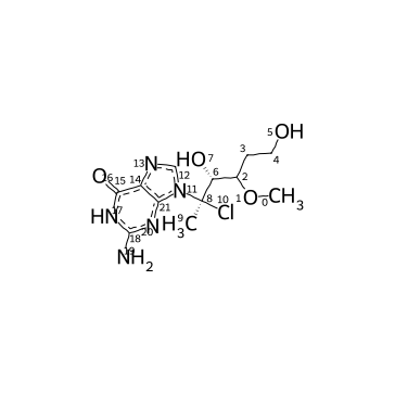 COC(CCO)[C@@H](O)[C@@](C)(Cl)n1cnc2c(=O)[nH]c(N)nc21